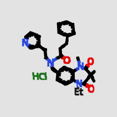 CCN1C(=O)C(C)(C)C(=O)N(C)c2cc(CN(CCc3cccnc3)C(=O)CCc3ccccc3)ccc21.Cl